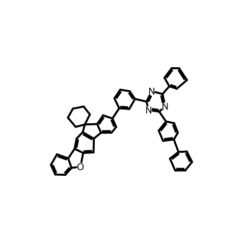 c1ccc(-c2ccc(-c3nc(-c4ccccc4)nc(-c4cccc(-c5ccc6c(c5)C5(CCCCC5)c5cc7c(cc5-6)oc5ccccc57)c4)n3)cc2)cc1